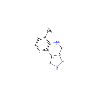 Cc1cccc2c1NCC1CNCC21